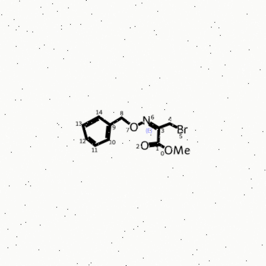 COC(=O)/C(CBr)=N\OCc1ccccc1